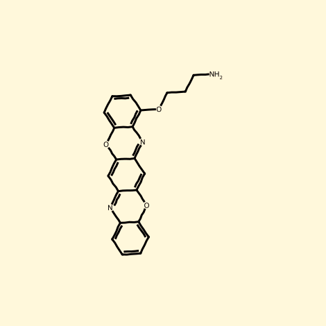 NCCCOc1cccc2c1N=c1cc3c(cc1O2)=Nc1ccccc1O3